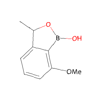 COc1cccc2c1B(O)OC2C